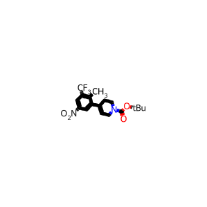 Cc1c(C2=CCN(C(=O)OC(C)(C)C)CC2)cc([N+](=O)[O-])cc1C(F)(F)F